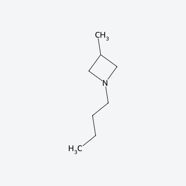 CCCCN1CC(C)C1